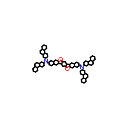 c1ccc2c(c1)ccc1cc(N(c3ccc4cc5c(cc4c3)oc3cc4c(cc35)oc3cc5cc(N(c6ccc7c(ccc8ccccc87)c6)c6ccc7c(ccc8ccccc87)c6)ccc5cc34)c3ccc4c(ccc5ccccc54)c3)ccc12